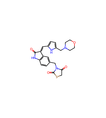 O=C1Nc2ccc(CN3C(=O)CSC3=O)cc2/C1=C\c1ccc(CN2CCOCC2)[nH]1